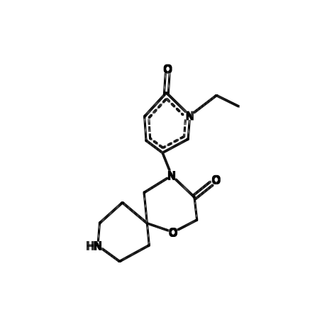 CCn1cc(N2CC3(CCNCC3)OCC2=O)ccc1=O